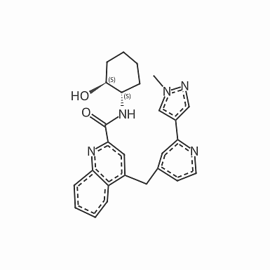 Cn1cc(-c2cc(Cc3cc(C(=O)N[C@H]4CCCC[C@@H]4O)nc4ccccc34)ccn2)cn1